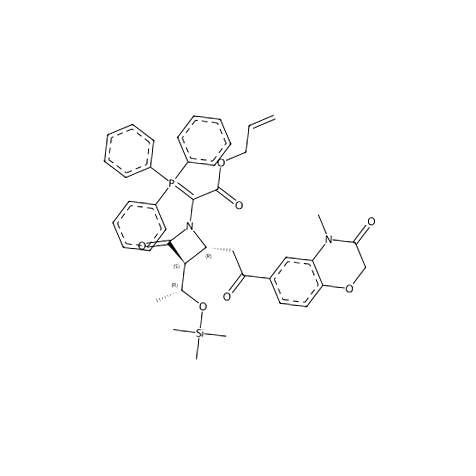 C=CCOC(=O)C(N1C(=O)[C@H]([C@@H](C)O[Si](C)(C)C)[C@H]1CC(=O)c1ccc2c(c1)N(C)C(=O)CO2)=P(c1ccccc1)(c1ccccc1)c1ccccc1